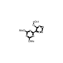 CCCCCCCCOc1nnncc1-c1nc(OC)nc(OC)n1